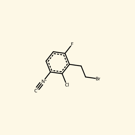 [C-]#[N+]c1ccc(F)c(CCBr)c1Cl